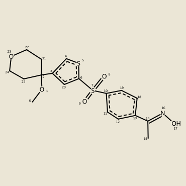 COC1(c2csc(S(=O)(=O)c3ccc(C(C)=NO)cc3)c2)CCOCC1